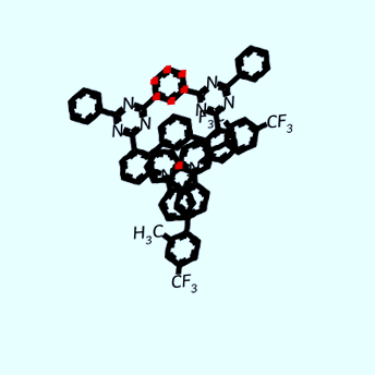 Cc1cc(C(F)(F)F)ccc1-c1ccc2c(c1)c1ccccc1n2-c1cccc(-c2nc(-c3ccccc3)nc(-c3ccccc3)n2)c1-c1cccc(-c2c(-c3nc(-c4ccccc4)nc(-c4ccccc4)n3)cccc2-n2c3ccccc3c3cc(-c4ccc(C(F)(F)F)cc4C(F)(F)F)ccc32)c1